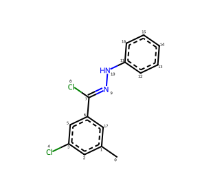 Cc1cc(Cl)cc(C(Cl)=NNc2ccccc2)c1